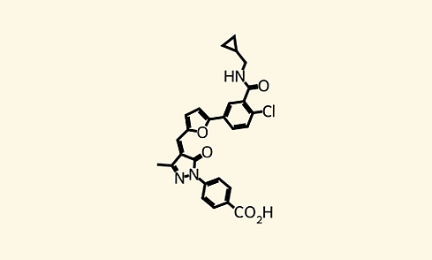 CC1=NN(c2ccc(C(=O)O)cc2)C(=O)C1=Cc1ccc(-c2ccc(Cl)c(C(=O)NCC3CC3)c2)o1